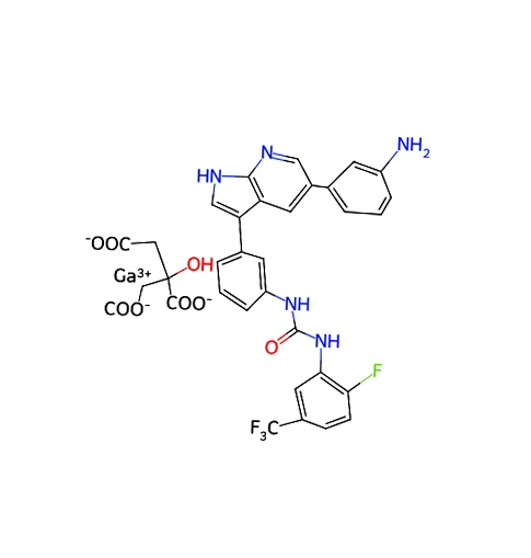 Nc1cccc(-c2cnc3[nH]cc(-c4cccc(NC(=O)Nc5cc(C(F)(F)F)ccc5F)c4)c3c2)c1.O=C([O-])CC(O)(CC(=O)[O-])C(=O)[O-].[Ga+3]